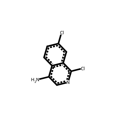 Nc1cnc(Cl)c2cc(Cl)ccc12